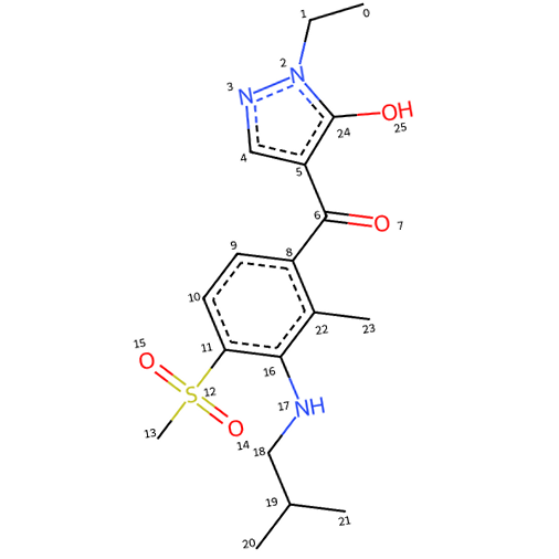 CCn1ncc(C(=O)c2ccc(S(C)(=O)=O)c(NCC(C)C)c2C)c1O